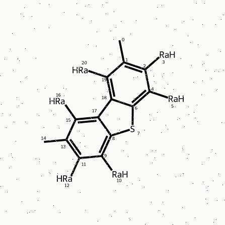 Cc1[c]([RaH])[c]([RaH])c2sc3[c]([RaH])[c]([RaH])c(C)[c]([RaH])c3c2[c]1[RaH]